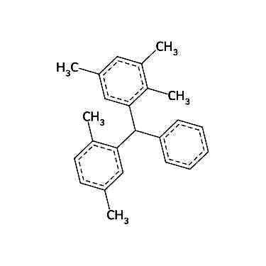 Cc1ccc(C)c(C(c2ccccc2)c2cc(C)cc(C)c2C)c1